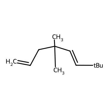 [CH2]C(C)(C)C=CC(C)(C)CC=C